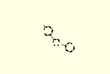 COc1ccc(-c2cn(-c3cccnc3)nn2)cn1